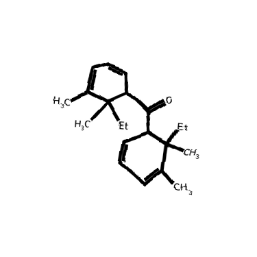 CCC1(C)C(C)=CC=CC1C(=O)C1C=CC=C(C)C1(C)CC